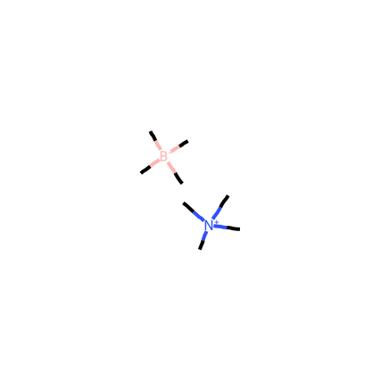 C[B-](C)(C)C.C[N+](C)(C)C